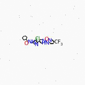 O=C(NCc1cnc(C2=CCN(C(=O)Nc3ccc(C(F)(F)F)cn3)CC2)c(Cl)c1)C1CCCCC1